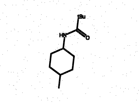 CC1CCC(NC(=O)C(C)(C)C)CC1